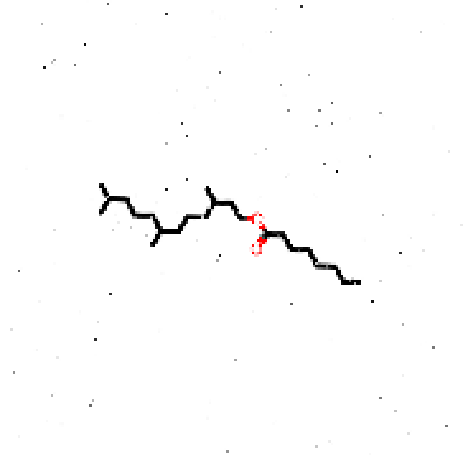 CCCCCCCC(=O)OCCC(C)CCCC(C)CCCC(C)C